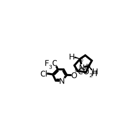 O=C(O)N1[C@@H]2CC[C@H]1C[C@@H](Oc1cc(C(F)(F)F)c(Cl)cn1)C2